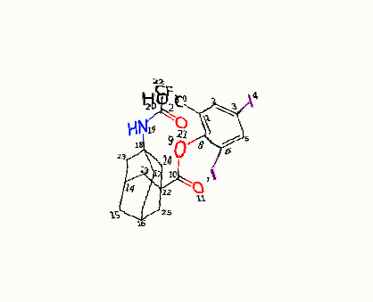 O=C(O)c1cc(I)cc(I)c1OC(=O)C12CC3CC(CC(NC(=O)C(F)(F)F)(C3)C1)C2